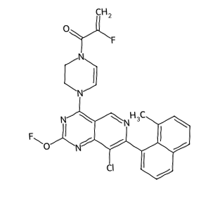 C=C(F)C(=O)N1C=CN(c2nc(OF)nc3c(Cl)c(-c4cccc5cccc(C)c45)ncc23)CC1